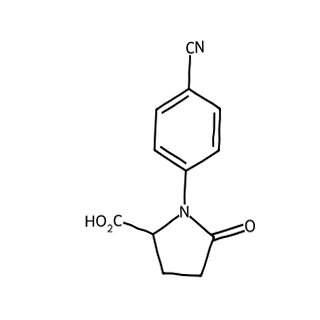 N#Cc1ccc(N2C(=O)CCC2C(=O)O)cc1